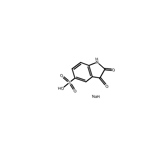 O=C1Nc2ccc(S(=O)(=O)O)cc2C1=O.[NaH]